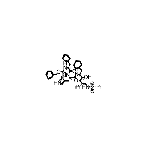 CCCS(=O)(=O)NC[C@@H](C[C@H](O)[C@H](CC1CCCCC1)NC(=O)[C@H](Cc1c[nH]cn1)NC(=O)[C@H](Cc1ccccc1)NC(=O)OCc1ccccc1)C(C)C